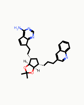 CC1(C)O[C@@H]2[C@@H](CCCc3cnc4ccccc4c3)C[C@@H](CCC3C=Cc4c(N)ncnc43)[C@@H]2O1